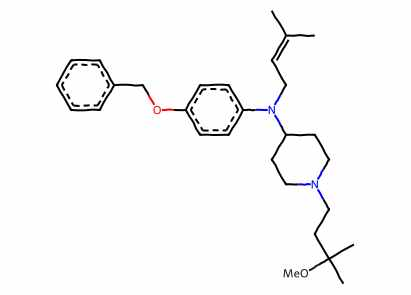 COC(C)(C)CCN1CCC(N(CC=C(C)C)c2ccc(OCc3ccccc3)cc2)CC1